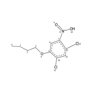 CCCCOc1cc([N+](=O)O)c(Cl)cc1Cl